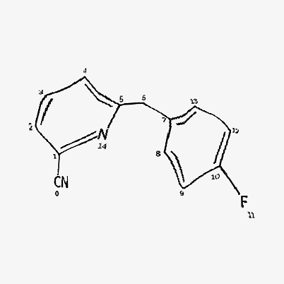 N#Cc1cccc(Cc2ccc(F)cc2)n1